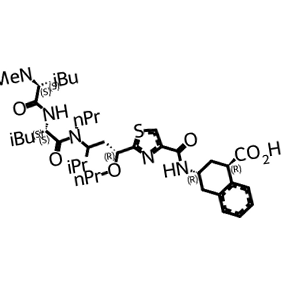 CCCO[C@H](CC(C(C)C)N(CCC)C(=O)[C@@H](NC(=O)[C@@H](NC)[C@@H](C)CC)[C@@H](C)CC)c1nc(C(=O)N[C@H]2Cc3ccccc3[C@H](C(=O)O)C2)cs1